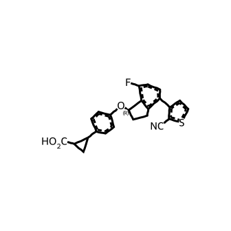 N#Cc1sccc1-c1ccc(F)c2c1CC[C@H]2Oc1ccc(C2CC2C(=O)O)cc1